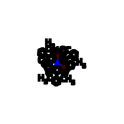 Cc1cccc(C)c1-c1cc2c3c(c1)S1(c4ccccc4-c4ccccc41)c1cc(-c4c(C)cccc4C)cc4c1N3c1c(cc(-c3c(C)cccc3C)cc1S41c3ccccc3-c3ccccc31)C21c2ccccc2-c2ccccc21